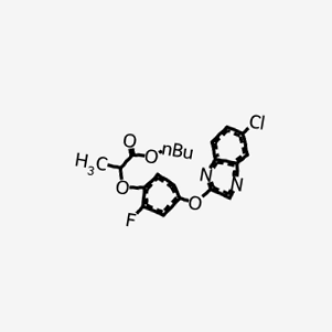 CCCCOC(=O)C(C)Oc1ccc(Oc2cnc3cc(Cl)ccc3n2)cc1F